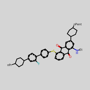 CCCCCC1CCC(c2cc(NCC)c3c(c2)C(=O)c2c(Sc4ccc(-c5ccc(C6CCC(CCC)CC6)cc5F)cc4)cccc2C3=O)CC1